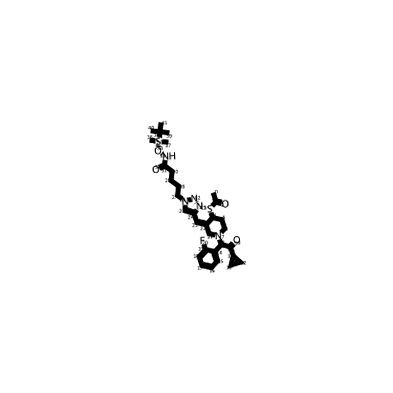 CC(=O)SC1CCN(C(C(=O)C2CC2)c2ccccc2F)CC1=Cc1cn(CCCCC(=O)NO[Si](C)(C)C(C)(C)C)nn1